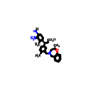 CCNc1ccc(C(CC(=O)O)c2ccc(C)c(CN3Cc4ccccc4O[C@@H](C)C3)c2)c(C)c1N